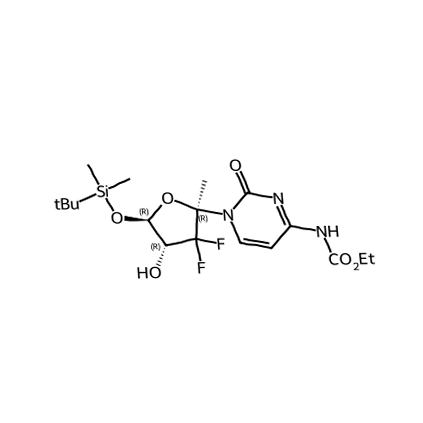 CCOC(=O)Nc1ccn([C@]2(C)O[C@H](O[Si](C)(C)C(C)(C)C)[C@@H](O)C2(F)F)c(=O)n1